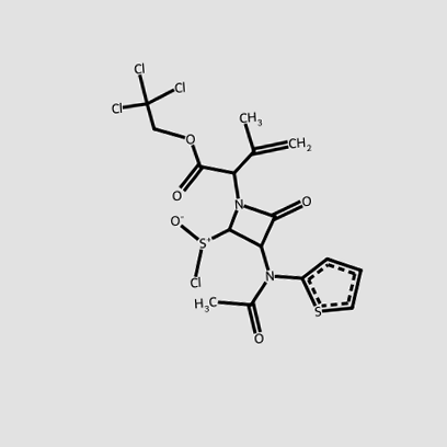 C=C(C)C(C(=O)OCC(Cl)(Cl)Cl)N1C(=O)C(N(C(C)=O)c2cccs2)C1[S+]([O-])Cl